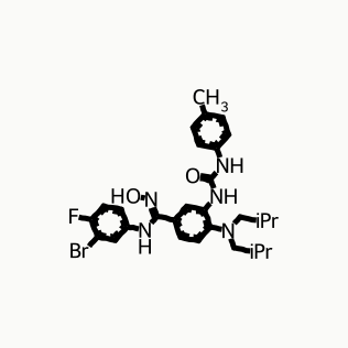 Cc1ccc(NC(=O)Nc2cc(C(=NO)Nc3ccc(F)c(Br)c3)ccc2N(CC(C)C)CC(C)C)cc1